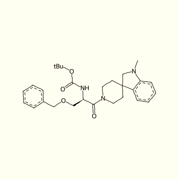 CN1CC2(CCN(C(=O)[C@@H](COCc3ccccc3)NC(=O)OC(C)(C)C)CC2)c2ccccc21